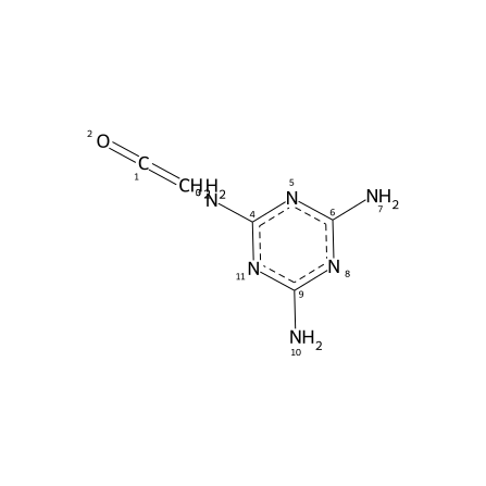 C=C=O.Nc1nc(N)nc(N)n1